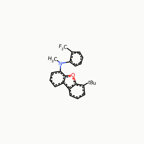 CN(c1ccccc1C(F)(F)F)c1cccc2c1oc1c(C(C)(C)C)cccc12